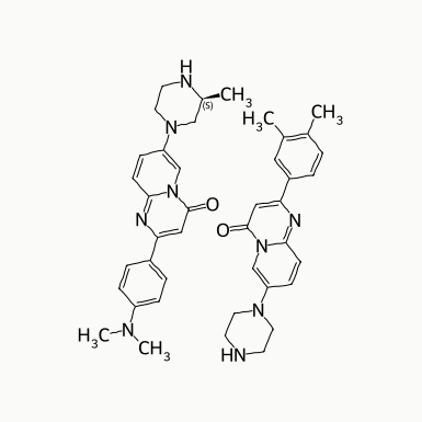 C[C@H]1CN(c2ccc3nc(-c4ccc(N(C)C)cc4)cc(=O)n3c2)CCN1.Cc1ccc(-c2cc(=O)n3cc(N4CCNCC4)ccc3n2)cc1C